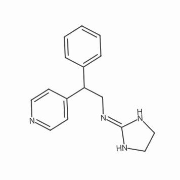 c1ccc(C(CN=C2NCCN2)c2ccncc2)cc1